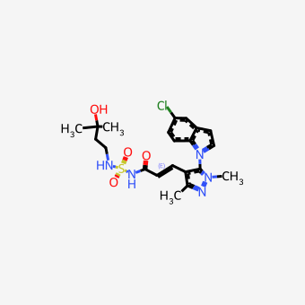 Cc1nn(C)c(-n2ccc3cc(Cl)ccc32)c1/C=C/C(=O)NS(=O)(=O)NCCC(C)(C)O